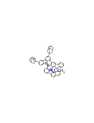 CC1(C)c2ccccc2-c2cc3c4c(c21)-n1c2c(cccc2c2ccc5ccccc5c21)B4n1c2ccc(C45CCC6CC(CC6C4)C5)cc2c2cc(C45CC6CC(CC(C6)C4)C5)cc-3c21